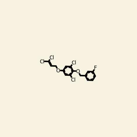 Fc1cccc(COc2c(Cl)cc(OCC=C(Cl)Cl)cc2Cl)c1